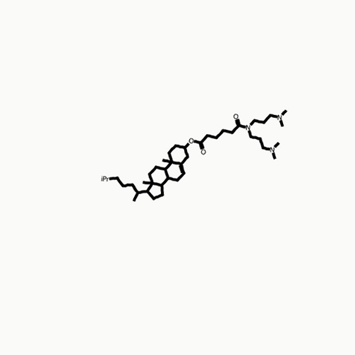 CC(C)CCCC(C)C1CCC2C3CC=C4CC(OC(=O)CCCCC(=O)N(CCCN(C)C)CCCN(C)C)CCC4(C)C3CCC12C